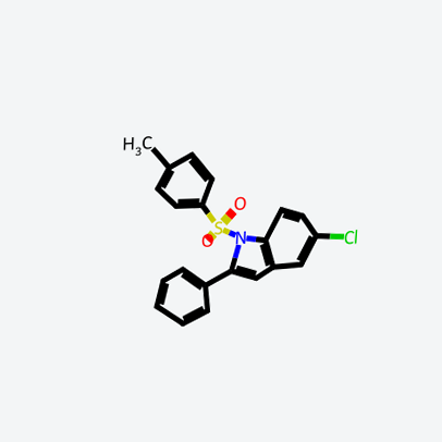 Cc1ccc(S(=O)(=O)n2c(-c3ccccc3)cc3cc(Cl)ccc32)cc1